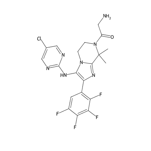 CC1(C)c2nc(-c3cc(F)c(F)c(F)c3F)c(Nc3ncc(Cl)cn3)n2CCN1C(=O)CN